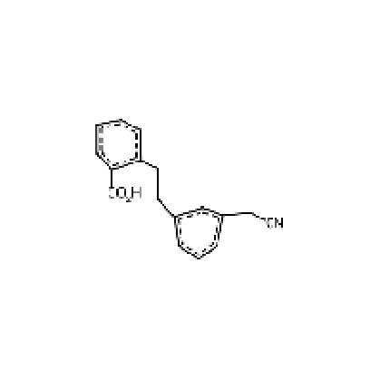 N#CCc1cccc(CCc2ccccc2C(=O)O)c1